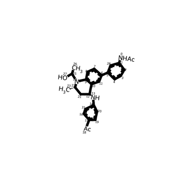 CC(=O)Nc1cccc(-c2ccc3c(c2)[C@H](Nc2ccc(C(C)=O)cc2)C[C@H](C)N3C(C)O)c1